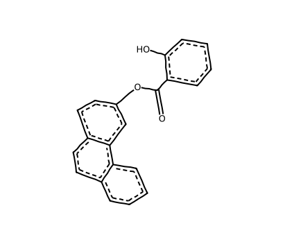 O=C(Oc1ccc2ccc3ccccc3c2c1)c1ccccc1O